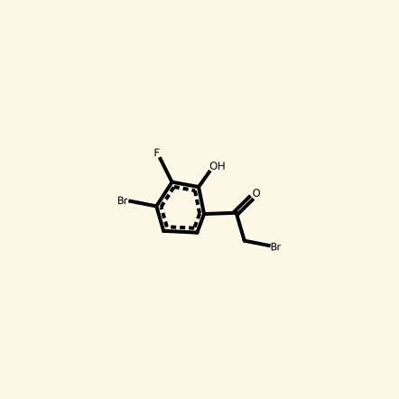 O=C(CBr)c1ccc(Br)c(F)c1O